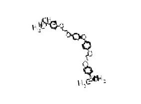 C[SH](C)c1ccc(OCCOc2ccc(Oc3ccc(OCCOc4ccc([SH](C)C)cc4)cc3)cc2)cc1